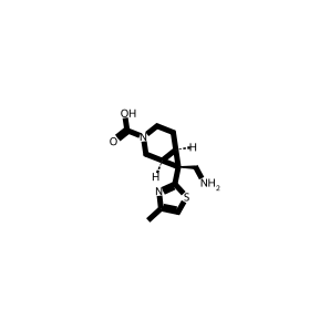 Cc1csc([C@@]2(CN)[C@@H]3CCN(C(=O)O)C[C@@H]32)n1